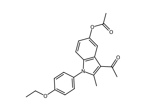 CCOc1ccc(-n2c(C)c(C(C)=O)c3cc(OC(C)=O)ccc32)cc1